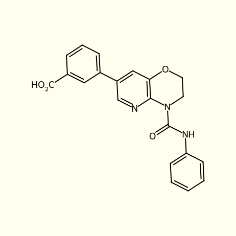 O=C(O)c1cccc(-c2cnc3c(c2)OCCN3C(=O)Nc2ccccc2)c1